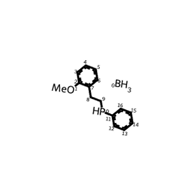 B.COc1ccccc1CCPc1ccccc1